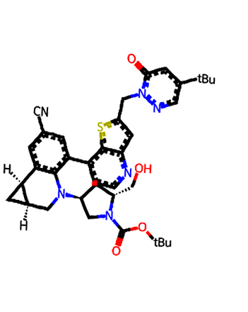 CC(C)(C)OC(=O)N1C[C@@H](N2C[C@H]3C[C@H]3c3cc(C#N)cc(-c4ccnc5cc(Cn6ncc(C(C)(C)C)cc6=O)sc45)c32)C[C@@H]1CO